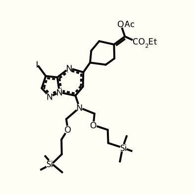 CCOC(=O)C(OC(C)=O)=C1CCC(c2cc(N(COCC[Si](C)(C)C)COCC[Si](C)(C)C)n3ncc(I)c3n2)CC1